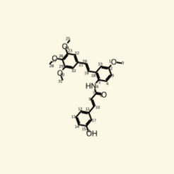 COc1ccc(NC(=O)/C=C/c2cccc(O)c2)c(C=Cc2cc(OC)c(OC)c(OC)c2)c1